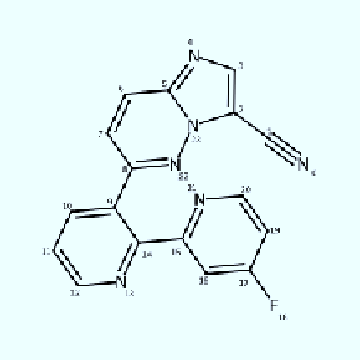 N#Cc1cnc2ccc(-c3cccnc3-c3cc(F)ccn3)nn12